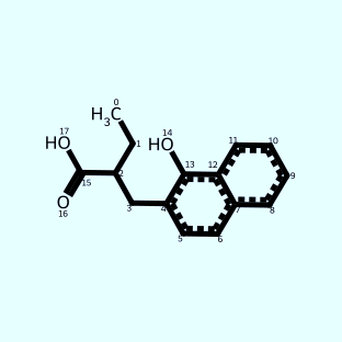 CCC(Cc1ccc2ccccc2c1O)C(=O)O